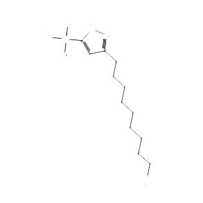 CCC[CH2][Sn]([CH2]CCC)([CH2]CCC)[c]1cc(CCCCCCCCCC(=O)O)no1